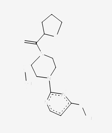 COc1ccnc(N2CCN(C(=O)C3CCCO3)CC2)n1.OCl